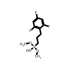 CO[Si](O)(CCCc1c(F)cc(F)cc1F)OC